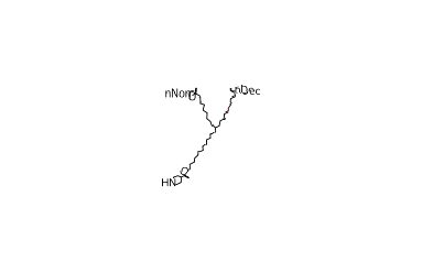 C=C(CCCCCCCCCC)CCCCCCCCCC(CCCCCCCCCCCCCOC(=C)C1CCNCC1)CCCCCCCCC(=C)OCCCCCCCCC